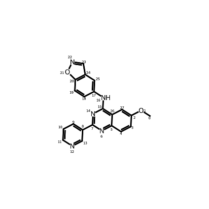 COc1ccc2nc(-c3cccnc3)nc(Nc3ccc4oncc4c3)c2c1